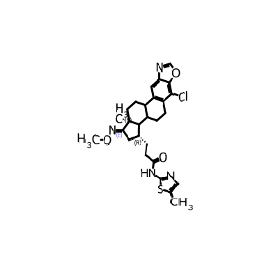 CO/N=C1\C[C@@H](CCC(=O)Nc2ncc(C)s2)C2C3CCc4c(cc5ncoc5c4Cl)C3CC[C@]12C